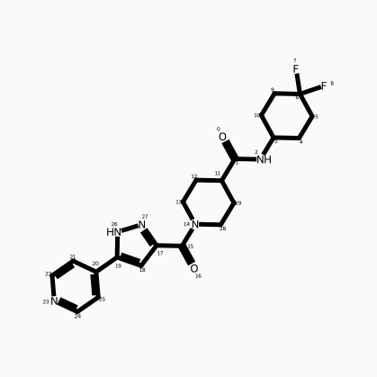 O=C(NC1CCC(F)(F)CC1)C1CCN(C(=O)c2cc(-c3ccncc3)[nH]n2)CC1